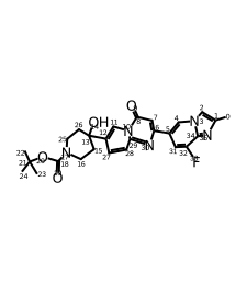 Cc1cn2cc(-c3cc(=O)n4cc(C5(O)CCN(C(=O)OC(C)(C)C)CC5)ccc4n3)cc(F)c2n1